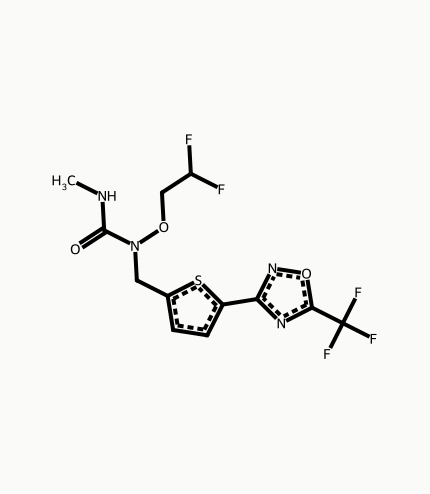 CNC(=O)N(Cc1ccc(-c2noc(C(F)(F)F)n2)s1)OCC(F)F